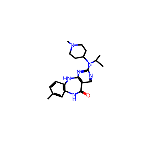 Cc1ccc2c(c1)NC(=O)c1cnc(N(C(C)C)C3CCN(C)CC3)nc1N2